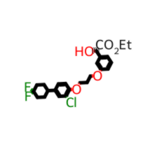 CCOC(=O)[C@H](O)c1cccc(OCCCOc2ccc(C3CCC(F)(F)CC3)cc2Cl)c1